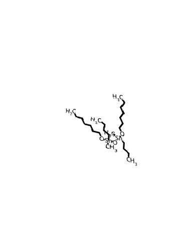 CCCCCCC[O][Sn]([CH3])([CH2]CCC)[O][Sn]([CH3])([CH2]CCC)[O]CCCCCCC